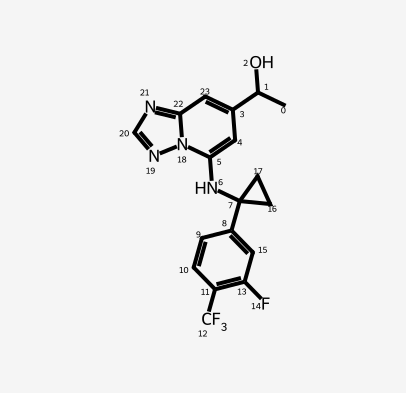 CC(O)c1cc(NC2(c3ccc(C(F)(F)F)c(F)c3)CC2)n2ncnc2c1